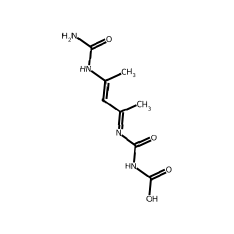 C/C(=C\C(C)=N\C(=O)NC(=O)O)NC(N)=O